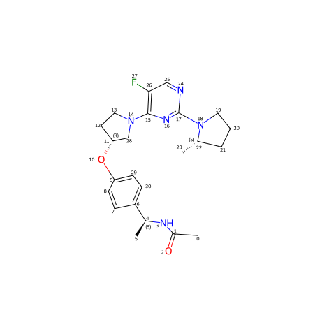 CC(=O)N[C@@H](C)c1ccc(O[C@@H]2CCN(c3nc(N4CCC[C@@H]4C)ncc3F)C2)cc1